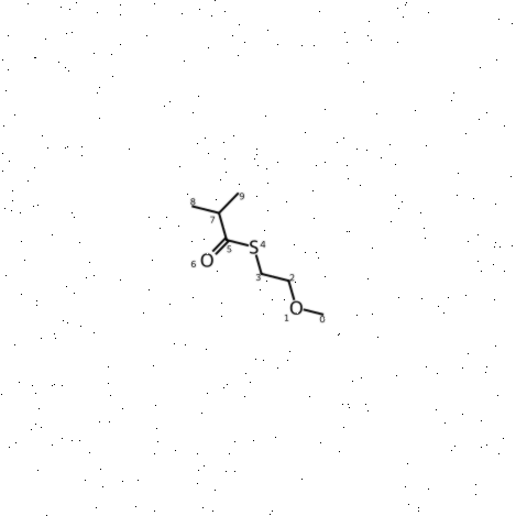 COCCSC(=O)C(C)C